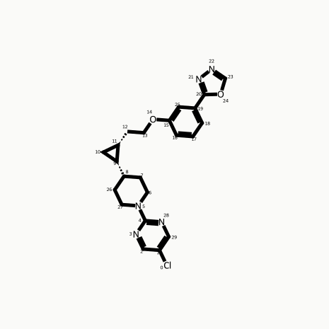 Clc1cnc(N2CCC([C@@H]3C[C@@H]3CCOc3cccc(-c4nnco4)c3)CC2)nc1